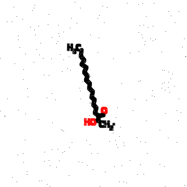 [CH2]C(O)C(C=O)CCCCCCCCCCCCCCCCC